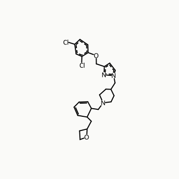 Clc1ccc(OCc2ccn(CC3CCN(CC4C=CC=CC4CC4CCO4)CC3)n2)c(Cl)c1